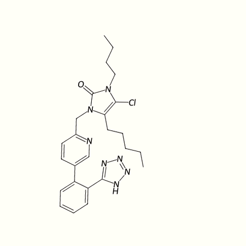 CCCCCc1c(Cl)n(CCCC)c(=O)n1Cc1ccc(-c2ccccc2-c2nnn[nH]2)cn1